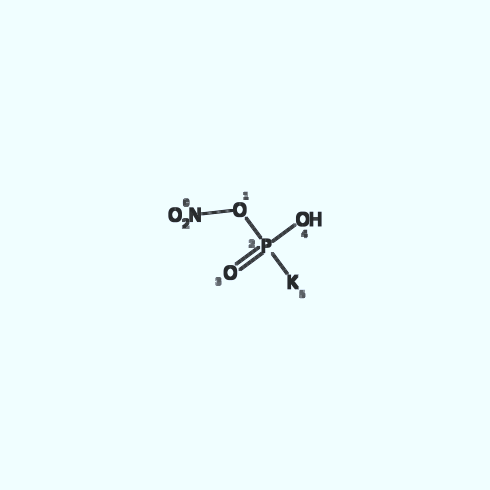 O=[N+]([O-])O[P](=O)(O)[K]